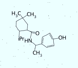 CC(NC(=O)C1CC(C)(C)CCC1C(C)C)c1ccc(O)cc1